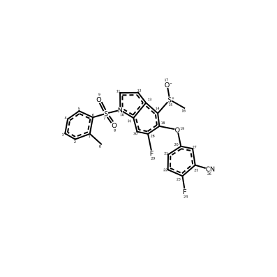 Cc1ccccc1S(=O)(=O)n1ccc2c([S+](C)[O-])c(Oc3ccc(F)c(C#N)c3)c(F)cc21